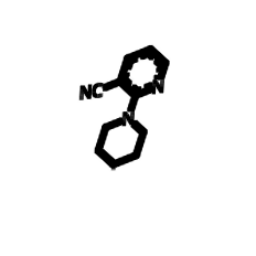 N#Cc1cccnc1N1CC[CH]CC1